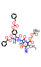 CC1=C(C(=O)OCOC(=O)C(C)(C)C)N2C(=O)C(NC(=O)C(NC(=O)OC(=O)c3ccccc3)c3ccc(OC(=O)OCc4ccccc4)cc3)[C@@H]2[S+]([O-])C1=[N+]=[N-]